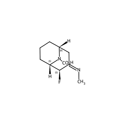 CN=C1C[C@H]2CCC[C@@H]([C@@H]1F)N2C(=O)O